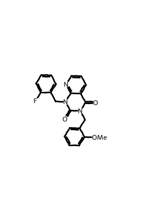 COc1ccccc1Cn1c(=O)c2cccnc2n(Cc2ccccc2F)c1=O